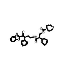 O=C(c1nc2ccccc2o1)C(CCNC(=O)C(CNC(=O)N1CCOCC1)C1CCCCC1)c1ccccc1